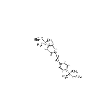 CC(C)(C)CC(C)(C)c1ccc(OOc2ccc(C(C)(C)CC(C)(C)C)cc2)cc1